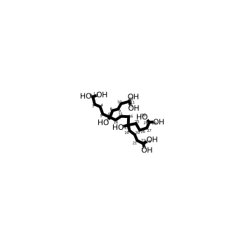 OC(O)CCCC(O)(CCCC(O)O)CCCC(O)(CCCC(O)O)CCCC(O)O